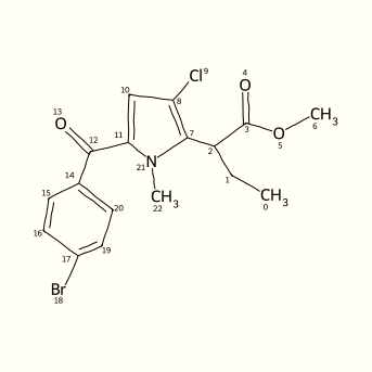 CCC(C(=O)OC)c1c(Cl)cc(C(=O)c2ccc(Br)cc2)n1C